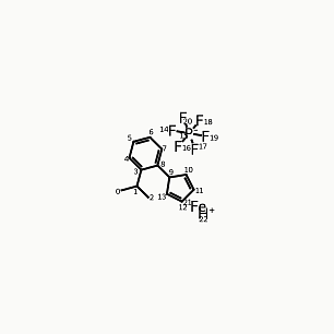 CC(C)c1ccccc1C1C=CC=C1.F[P-](F)(F)(F)(F)F.[Fe].[H+]